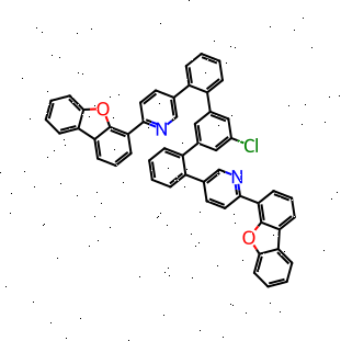 Clc1cc(-c2ccccc2-c2ccc(-c3cccc4c3oc3ccccc34)nc2)cc(-c2ccccc2-c2ccc(-c3cccc4c3oc3ccccc34)nc2)c1